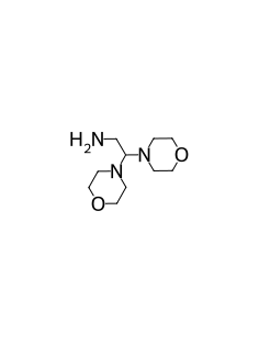 NCC(N1CCOCC1)N1CCOCC1